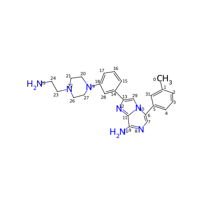 Cc1cccc(-c2cnc(N)c3nc(-c4cccc(N5CCN(CCN)CC5)c4)cn23)c1